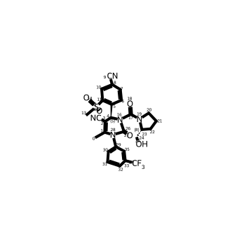 CC1=C(C#N)[C@@H](c2ccc(C#N)cc2S(C)(=O)=O)N(C(=O)N2CCC[C@@H]2CO)C(=O)N1c1cccc(C(F)(F)F)c1